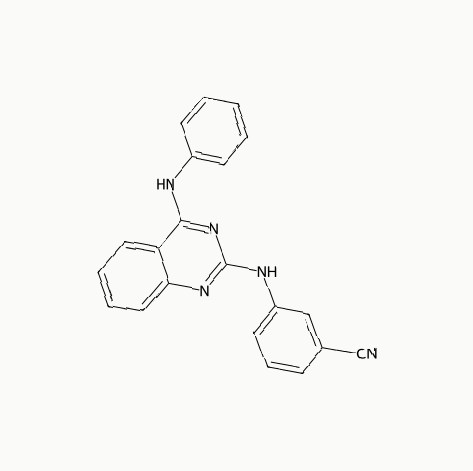 N#Cc1cccc(Nc2nc(Nc3ccccc3)c3ccccc3n2)c1